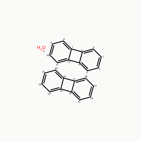 O.c1ccc2c(c1)-c1ccccc1-2.c1ccc2c(c1)-c1ccccc1-2